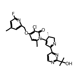 Cc1cc(F)nc(COc2cc(C)n(C3=CC(c4ccnc(C(C)(C)O)n4)=NC[C@H]3C)c(=O)c2Cl)c1